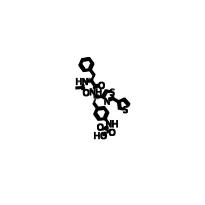 CC(=O)N[C@@H](Cc1ccccc1)C(=O)N[C@@H](Cc1ccc(NS(=O)(=O)O)cc1)c1csc(-c2ccsc2)n1